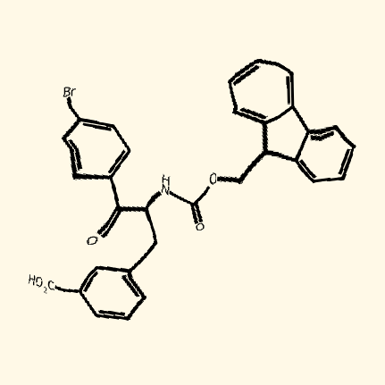 O=C(NC(Cc1cccc(C(=O)O)c1)C(=O)c1ccc(Br)cc1)OCC1c2ccccc2-c2ccccc21